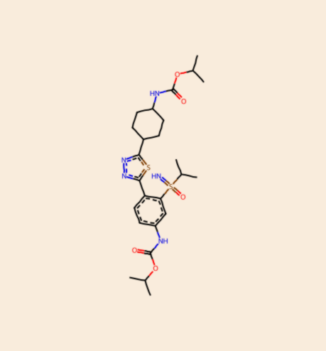 CC(C)OC(=O)Nc1ccc(-c2nnc(C3CCC(NC(=O)OC(C)C)CC3)s2)c(S(=N)(=O)C(C)C)c1